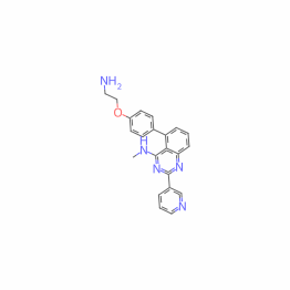 CNc1nc(-c2cccnc2)nc2cccc(-c3ccc(OCCN)cc3)c12